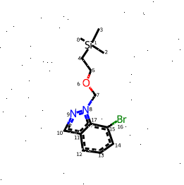 C[Si](C)(C)CCOCn1ncc2cccc(Br)c21